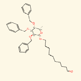 C[C@@H]1O[C@H](OCCCCCCCCCC=O)[C@@H](OCc2ccccc2)[C@H](OCc2ccccc2)[C@@H]1OCc1ccccc1